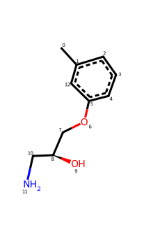 Cc1cccc(OC[C@@H](O)CN)c1